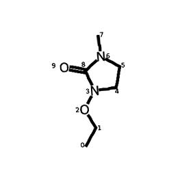 CCON1CCN(C)C1=O